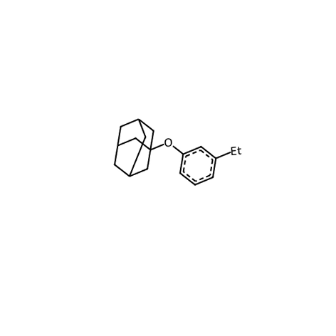 [CH2]Cc1cccc(OC23CC4CC(CC(C4)C2)C3)c1